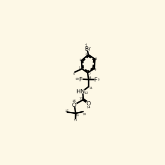 Cc1cc(Br)ccc1C(F)(F)CNC(=O)OC(C)(C)C